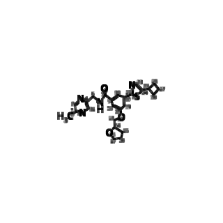 Cc1cnc(CNC(=O)c2cc(OCC3CCCO3)cc(-c3ncc(C4CCC4)s3)c2)cn1